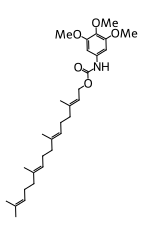 COc1cc(NC(=O)OC/C=C(\C)CC/C=C(\C)CC/C=C(\C)CCC=C(C)C)cc(OC)c1OC